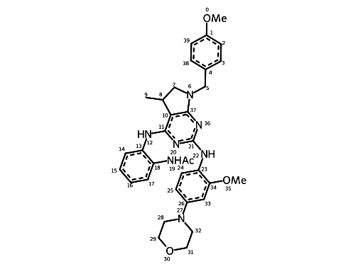 COc1ccc(CN2CC(C)c3c(Nc4ccccc4NC(C)=O)nc(Nc4ccc(N5CCOCC5)cc4OC)nc32)cc1